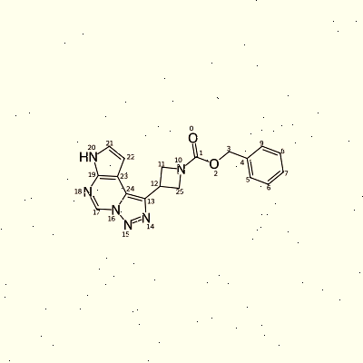 O=C(OCc1ccccc1)N1CC(c2nnn3cnc4[nH]ccc4c23)C1